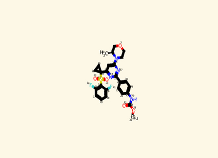 C[C@H]1COCCN1c1cc(C2(S(=O)(=O)c3c(F)cccc3F)CC2)nc(-c2ccc(NC(=O)OC(C)(C)C)cc2)n1